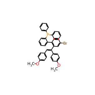 COc1ccc(/C=C(\c2ccc(OC)cc2)c2cc(Br)ccc2-c2ccccc2P(c2ccccc2)c2ccccc2)cc1